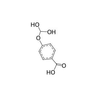 O=C(O)c1ccc(OC(O)O)cc1